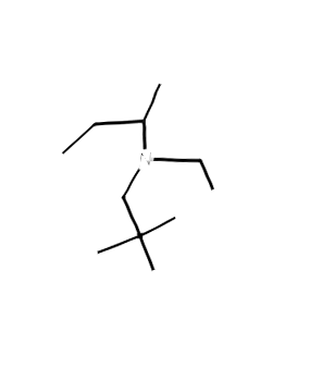 CCC(C)N(CC)CC(C)(C)C